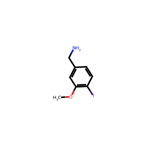 COc1cc(CN)ccc1I